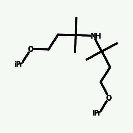 CC(C)OCCC(C)(C)NC(C)(C)CCOC(C)C